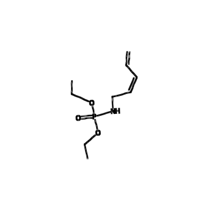 C=C/C=C\CNP(=O)(OCC)OCC